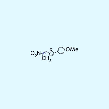 COc1ccc(-c2ccc(/C=C(\C)[N+](=O)[O-])s2)cc1